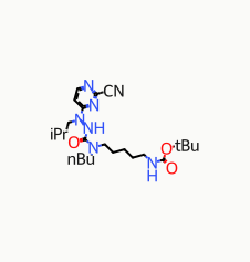 CCCCN(CCCCCNC(=O)OC(C)(C)C)C(=O)NN(CC(C)C)c1ccnc(C#N)n1